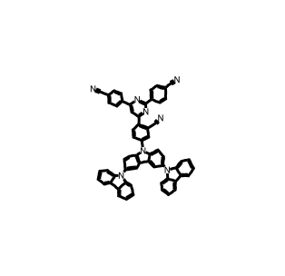 N#Cc1ccc(-c2cc(-c3ccc(-n4c5ccc(-n6c7ccccc7c7ccccc76)cc5c5cc(-n6c7ccccc7c7ccccc76)ccc54)cc3C#N)nc(-c3ccc(C#N)cc3)n2)cc1